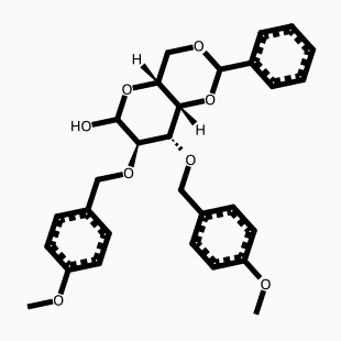 COc1ccc(CO[C@H]2[C@H]3OC(c4ccccc4)OC[C@H]3OC(O)[C@@H]2OCc2ccc(OC)cc2)cc1